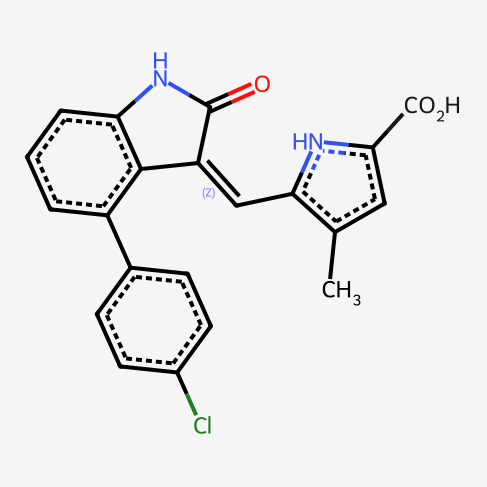 Cc1cc(C(=O)O)[nH]c1/C=C1\C(=O)Nc2cccc(-c3ccc(Cl)cc3)c21